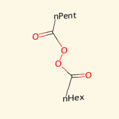 CCCCCCC(=O)OOC(=O)CCCCC